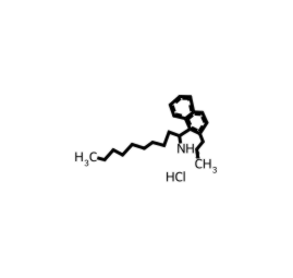 CCCCCCCCCC(N)c1c(CCC)ccc2ccccc12.Cl